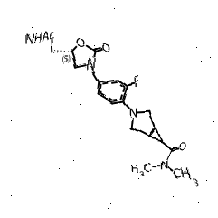 CC(=O)NC[C@H]1CN(c2ccc(N3CC4C(C3)C4C(=O)N(C)C)c(F)c2)C(=O)O1